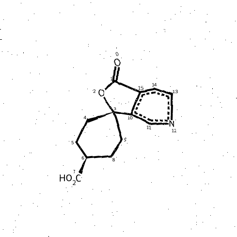 O=C1O[C@]2(CC[C@H](C(=O)O)CC2)c2cnccc21